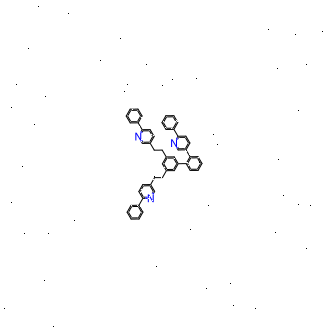 c1ccc(-c2ccc(CCc3cc(CCc4ccc(-c5ccccc5)nc4)cc(-c4ccccc4-c4ccc(-c5ccccc5)nc4)c3)cn2)cc1